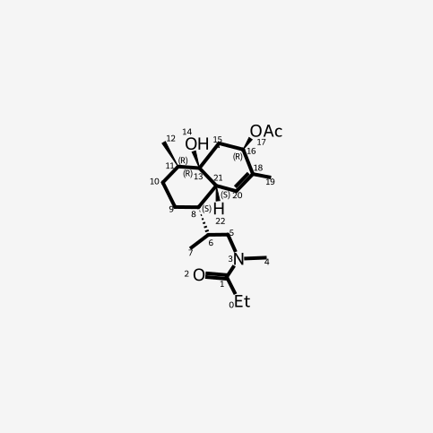 CCC(=O)N(C)CC(C)[C@@H]1CC[C@@H](C)[C@]2(O)[CH][C@@H](OC(C)=O)C(C)=C[C@H]12